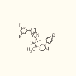 C[C@@H](C(=O)Nc1cn2c(n1)CC[C@@H]2c1cc(F)cc(F)c1)N1CCC2(CC2)[C@@H](c2cc[n+]([O-])cc2)C1